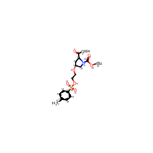 COC(=O)C1C[C@H](OCCOS(=O)(=O)c2ccc(C)cc2)CN1C(=O)OC(C)(C)C